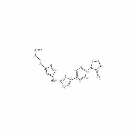 COCCCn1cc(Nc2nc(-c3ccc(N4CCCC4=O)cc3)cs2)cn1